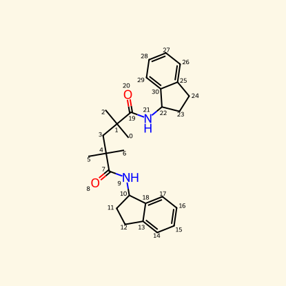 CC(C)(CC(C)(C)C(=O)NC1CCc2ccccc21)C(=O)NC1CCc2ccccc21